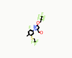 Cc1cc(F)c(-n2nc(OCC(F)(F)C(F)(F)F)cc2C=O)cc1SCC(F)(F)F